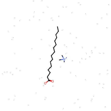 CCCCCCCCCCCCCCCC(=O)[O-].C[N+](C)(C)C